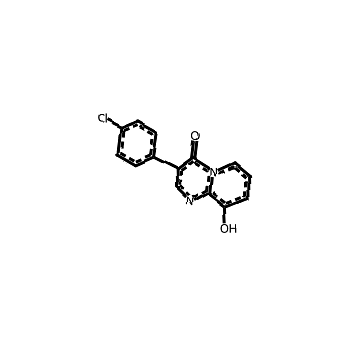 O=c1c(-c2ccc(Cl)cc2)cnc2c(O)cccn12